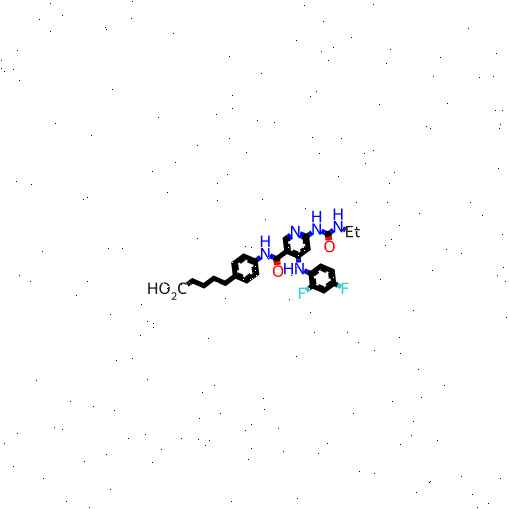 CCNC(=O)Nc1cc(Nc2ccc(F)cc2F)c(C(=O)Nc2ccc(CCCCC(=O)O)cc2)cn1